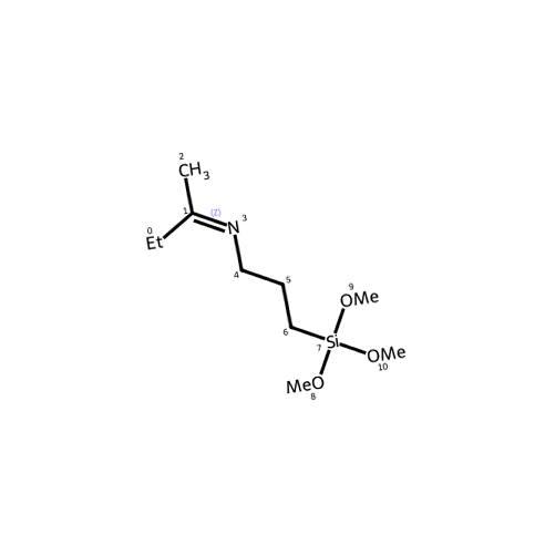 CC/C(C)=N\CCC[Si](OC)(OC)OC